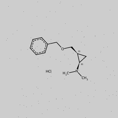 CN(C)[C@@H]1C[C@@H]1COCc1ccccc1.Cl